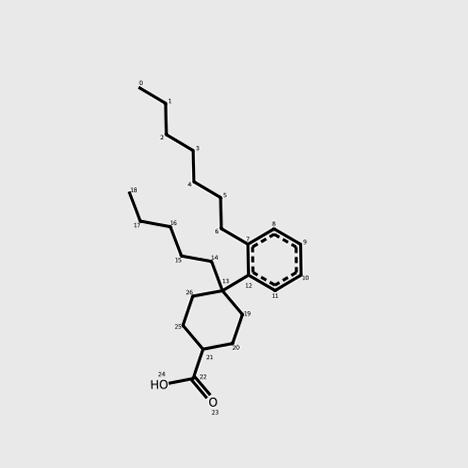 CCCCCCCc1ccccc1C1(CCCCC)CCC(C(=O)O)CC1